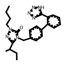 CCCCn1nc(C(C)CC)n(Cc2ccc(-c3ccccc3-c3nnn[nH]3)cc2)c1=O